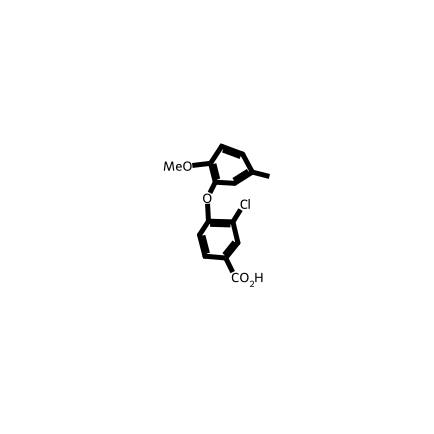 COc1ccc(C)cc1Oc1ccc(C(=O)O)cc1Cl